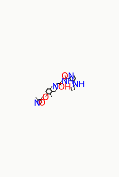 Cc1ncoc1COc1ccc2c(c1C)CCN(CC(O)CNC(=O)c1cc(NC3CCC3)ccn1)C2